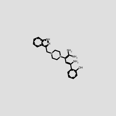 NC(N)=C(/C=C(\N)c1ccccc1O)N1CCN(Cc2n[nH]c3ccccc23)CC1